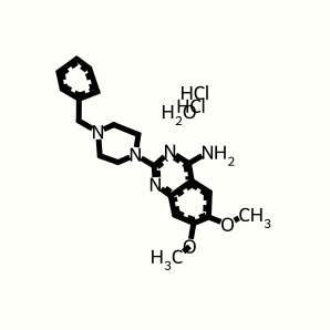 COc1cc2nc(N3CCN(Cc4ccccc4)CC3)nc(N)c2cc1OC.Cl.Cl.O